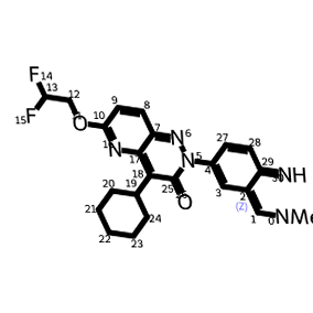 CN/C=C1/C=C(n2nc3ccc(OCC(F)F)nc3c(C3CCCCC3)c2=O)C=CC1=N